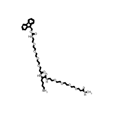 CNC(=O)CCOCCOCCOCCOCCNC(=O)C(CCCCN)NC(=O)CCOCCOCCOCCOCCNC(=O)OCC1c2ccccc2-c2ccccc21